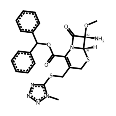 CO[C@@]1(N)C(=O)N2C(C(=O)OC(c3ccccc3)c3ccccc3)=C(CSc3nnnn3C)CS[C@H]21